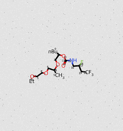 CCCCC(COC(C)COCCOCC)OC(=O)NCC(F)CC(F)(F)F